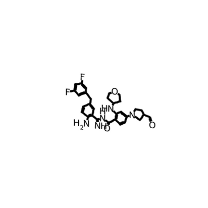 N=C(NC(=O)c1ccc(N2CCC(C=O)C2)cc1NC1CCOCC1)c1cc(Cc2cc(F)cc(F)c2)ccc1N